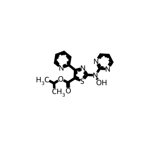 CC(C)OC(=O)c1sc(N(O)c2ncccn2)nc1-c1ccccn1